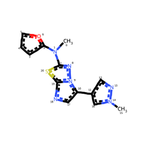 CN(c1ccco1)c1nn2c(-c3cnn(C)c3)cnc2s1